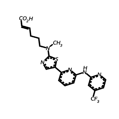 CN(CCCC=CC(=O)O)c1ncc(-c2cccc(Nc3cc(C(F)(F)F)ccn3)n2)s1